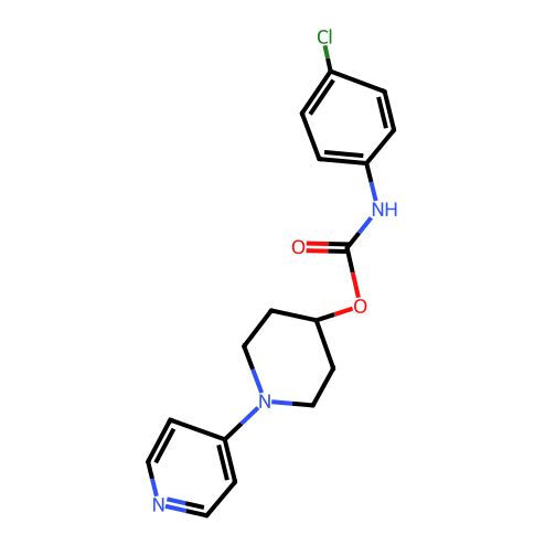 O=C(Nc1ccc(Cl)cc1)OC1CCN(c2ccncc2)CC1